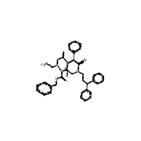 NCN1CC(=O)N2[C@@H](c3ccccc3)C(=O)N(CCC(c3ccccc3)c3ccccc3)C[C@@H]2N1C(=O)NCc1ccccc1